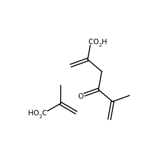 C=C(C)C(=O)CC(=C)C(=O)O.C=C(C)C(=O)O